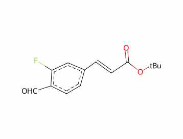 CC(C)(C)OC(=O)/C=C/c1ccc(C=O)c(F)c1